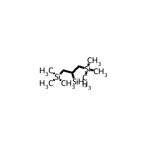 C[Si](C)(C)CC([SiH3])C[Si](C)(C)C